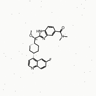 CO[C@@H](c1nc2cc(C(=O)N(C)C)ccc2[nH]1)[C@H]1CC[C@@H](c2ccnc3ccc(F)cc32)CC1